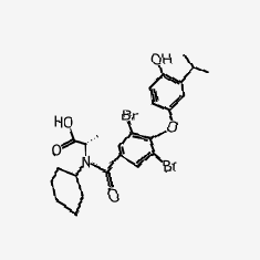 CC(C)c1cc(Oc2c(Br)cc(C(=O)N(C3CCCCC3)[C@@H](C)C(=O)O)cc2Br)ccc1O